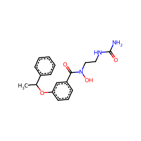 CC(Oc1cccc(C(=O)N(O)CCNC(N)=O)c1)c1ccccc1